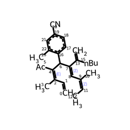 C=C/C(C)=C(/C(C)=O)C(/C(=C/C(C)=C\C)C(=C)CCCC)c1ccc(C#N)cc1C